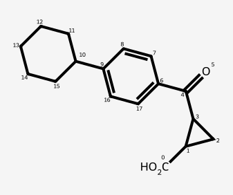 O=C(O)C1CC1C(=O)c1ccc(C2CCCCC2)cc1